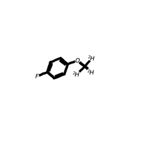 [2H]C([2H])([2H])Oc1ccc(F)cc1